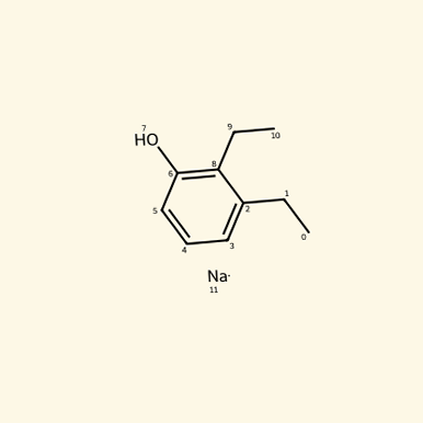 CCc1cccc(O)c1CC.[Na]